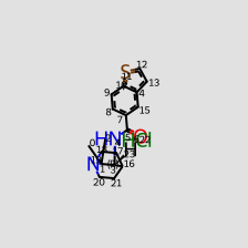 CC1(C)[C@H](NC(=O)c2ccc3sccc3c2)C2CCN1CC2.Cl